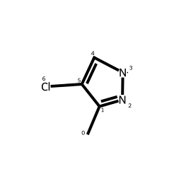 CC1=N[N]C=C1Cl